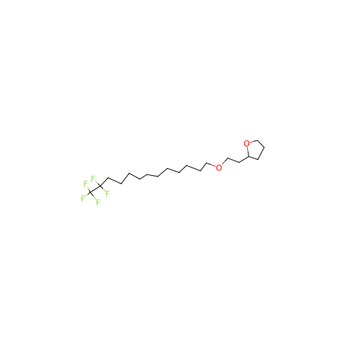 FC(F)(F)C(F)(F)CCCCCCCCCCCOCCC1CCCO1